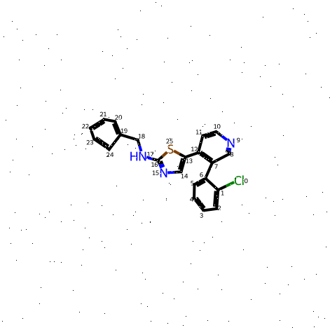 Clc1ccccc1-c1cnccc1-c1cnc(NCc2ccccc2)s1